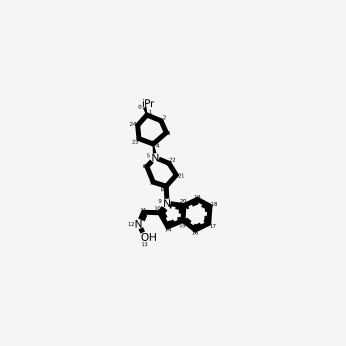 CC(C)[C@H]1CC[C@@H](N2CCC(n3c(/C=N\O)cc4ccccc43)CC2)CC1